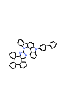 c1ccc(-c2ccc(-n3c4ccccc4c4c3ccc3c5ccccc5n(-c5ncc6c(n5)-c5ccccc5-c5ccccc5-c5ccccc5-6)c34)cc2)cc1